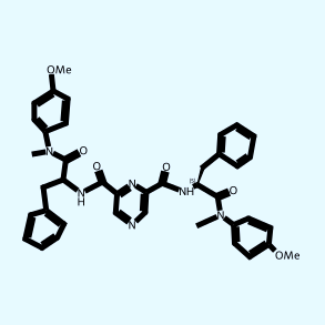 COc1ccc(N(C)C(=O)C(Cc2ccccc2)NC(=O)c2cncc(C(=O)N[C@@H](Cc3ccccc3)C(=O)N(C)c3ccc(OC)cc3)n2)cc1